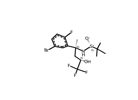 CC(C)(C)[S@@+]([O-])N[C@@](C)(C[C@H](O)C(F)(F)F)c1cc(Br)ccc1F